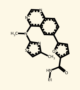 CCNC(=O)c1ccc(-c2ccc3ncnc(N(C)c4nc(C)cs4)c3c2)o1